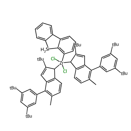 Cc1ccc2c(c1-c1cc(C(C)(C)C)cc(C(C)(C)C)c1)C=C(C(C)(C)C)[CH]2[Zr]([Cl])([Cl])([c]1cccc2c1[SiH2]c1ccccc1-2)[CH]1C(C(C)(C)C)=Cc2c1ccc(C)c2-c1cc(C(C)(C)C)cc(C(C)(C)C)c1